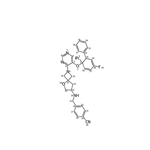 CC(C)C1(Oc2cncnc2N2CC3(CC(NCc4ccc(C#N)cc4)CO3)C2)C=CC(F)=CC1c1ccccc1